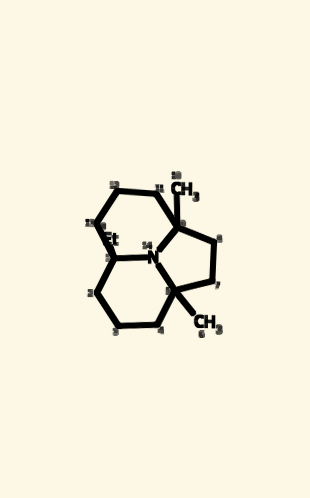 CCC12CCCC3(C)CCC(C)(CCC1)N32